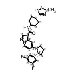 Cn1nnc([C@H]2CC[C@H](NC(=O)c3cnn4ccc(N5CCC[C@@H]5c5cc(F)cc(F)c5)cc34)CC2)n1